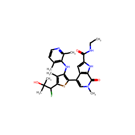 CCNC(=O)c1cc2c(-c3sc(C(F)C(C)(C)O)c(C)c3Nc3c(C)ccnc3C)cn(C)c(=O)c2[nH]1